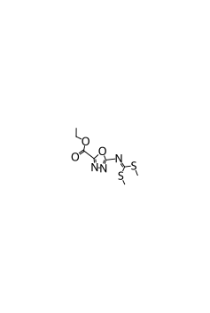 CCOC(=O)c1nnc(N=C(SC)SC)o1